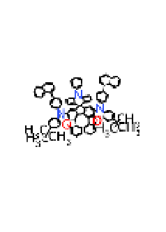 CC(C)(C)c1ccc(N(c2ccc(-c3cccc4ccccc34)cc2)c2cc3c(c4c2oc2ccccc24)-c2c(cc(N(c4ccc(-c5cccc6ccccc56)cc4)c4ccc(C(C)(C)C)cc4)c4oc5ccccc5c24)C32c3ccccc3N(c3ccccc3)c3ccccc32)cc1